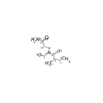 CCC(C)C(=O)N(C=O)CCC(N)=O